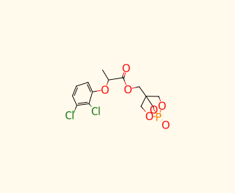 CC(Oc1cccc(Cl)c1Cl)C(=O)OCC12COP(=O)(OC1)OC2